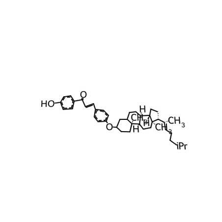 CC(C)CCC[C@@H](C)[C@H]1CC[C@H]2[C@@H]3CCC4CC(Oc5ccc(/C=C/C(=O)c6ccc(O)cc6)cc5)CC[C@]4(C)[C@H]3CC[C@]12C